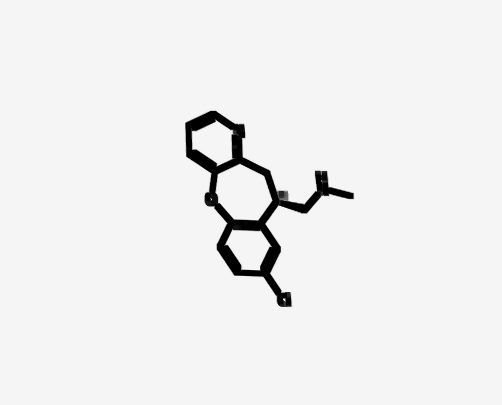 CNC[C@@H]1Cc2ncccc2Oc2ccc(Cl)cc21